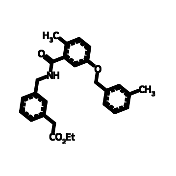 CCOC(=O)Cc1cccc(CNC(=O)c2cc(OCc3cccc(C)c3)ccc2C)c1